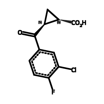 O=C(O)[C@H]1C[C@@H]1C(=O)c1ccc(F)c(Cl)c1